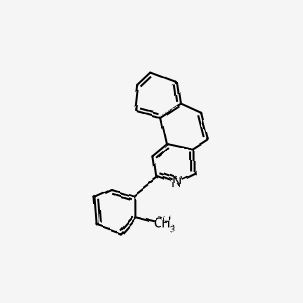 Cc1ccccc1-c1cc2c(ccc3ccccc32)cn1